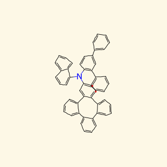 c1ccc(-c2ccc(N(c3ccc4c(c3)-c3ccccc3-c3ccccc3-c3ccccc3-4)c3cccc4ccccc34)c(-c3ccccc3)c2)cc1